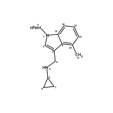 CCCCCn1cc(CNC2CC2)c2c(C)cccc21